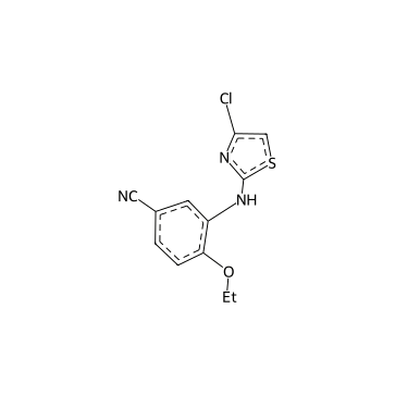 CCOc1ccc(C#N)cc1Nc1nc(Cl)cs1